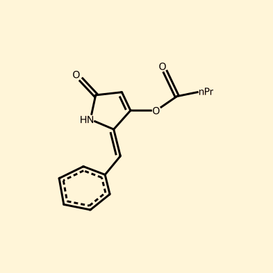 CCCC(=O)OC1=CC(=O)N/C1=C\c1ccccc1